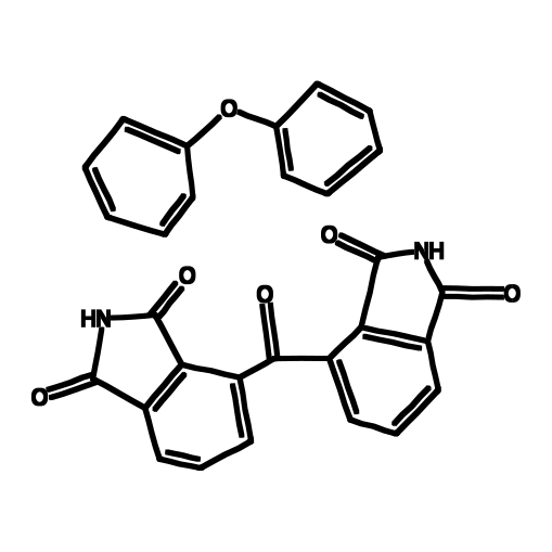 O=C1NC(=O)c2c1cccc2C(=O)c1cccc2c1C(=O)NC2=O.c1ccc(Oc2ccccc2)cc1